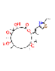 CCc1nc(/C=C(\C)[C@H]2C[C@H]3O[C@@]3(C)CCC[C@@H](C)[C@@H](O)[C@H](C)C(=O)C(C)(C)[C@H](O)CC(=O)O2)cs1